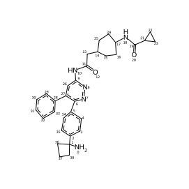 NC1(c2ccc(-c3nnc(NC(=O)CC4CCC(NC(=O)C5CC5)CC4)cc3-c3ccccc3)cc2)CCC1